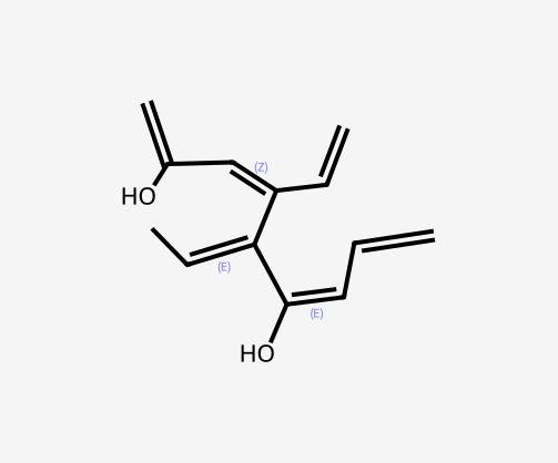 C=C\C=C(O)/C(=C/C)C(/C=C)=C\C(=C)O